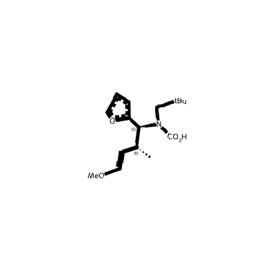 COC=C[C@@H](C)[C@@H](c1ccco1)N(CC(C)(C)C)C(=O)O